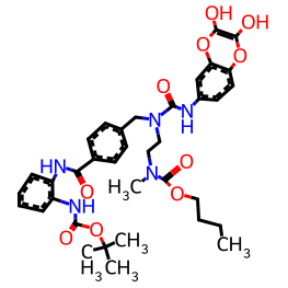 CCCCOC(=O)N(C)CCN(Cc1ccc(C(=O)Nc2ccccc2NC(=O)OC(C)(C)C)cc1)C(=O)Nc1ccc2c(c1)OC(O)=C(O)O2